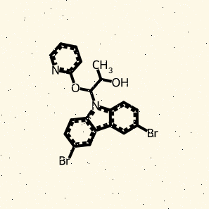 CC(O)C(Oc1ccccn1)n1c2ccc(Br)cc2c2cc(Br)ccc21